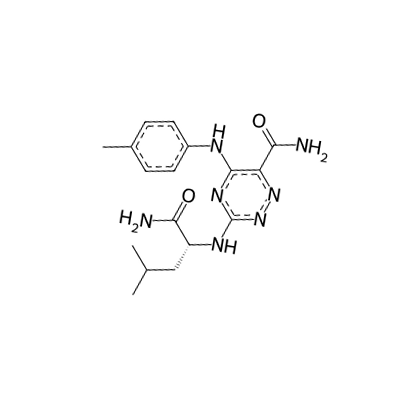 Cc1ccc(Nc2nc(N[C@H](CC(C)C)C(N)=O)nnc2C(N)=O)cc1